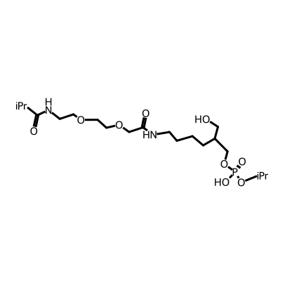 CC(C)OP(=O)(O)OCC(CO)CCCCNC(=O)COCCOCCNC(=O)C(C)C